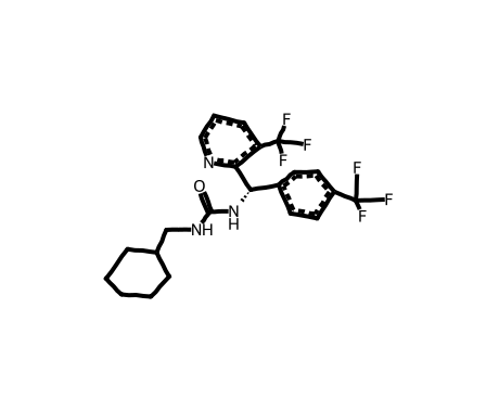 O=C(NCC1CCCCC1)N[C@@H](c1ccc(C(F)(F)F)cc1)c1ncccc1C(F)(F)F